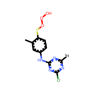 [3H]c1nc(Cl)nc(Nc2ccc(SOOO)c(C)c2)n1